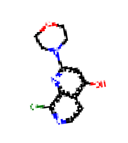 Oc1cc(N2CCOCC2)nc2c(Cl)nccc12